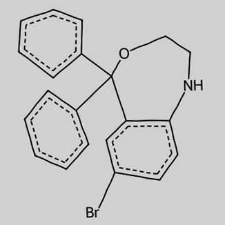 Brc1ccc2c(c1)C(c1ccccc1)(c1ccccc1)OCCN2